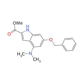 COC(=O)c1cc2c(N(C)C)cc(OCc3ccccc3)cc2[nH]1